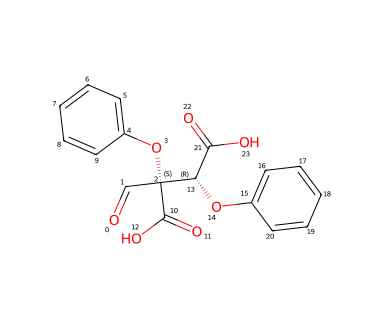 O=C[C@](Oc1ccccc1)(C(=O)O)[C@@H](Oc1ccccc1)C(=O)O